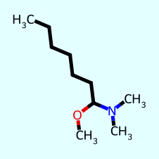 CCCCCCC(OC)N(C)C